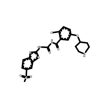 CS(=O)(=O)c1ccc2nc(NC(=O)NC(=O)c3cc(OC4CCNCC4)ccc3Cl)sc2c1